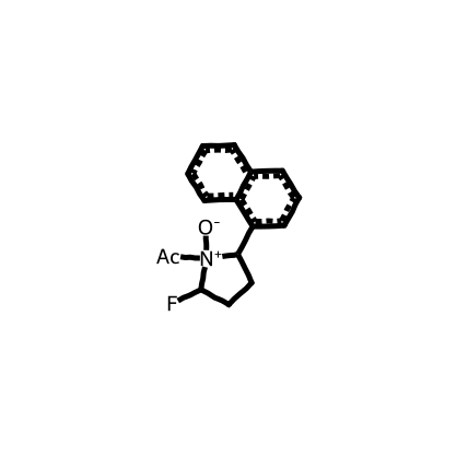 CC(=O)[N+]1([O-])C(F)CCC1c1cccc2ccccc12